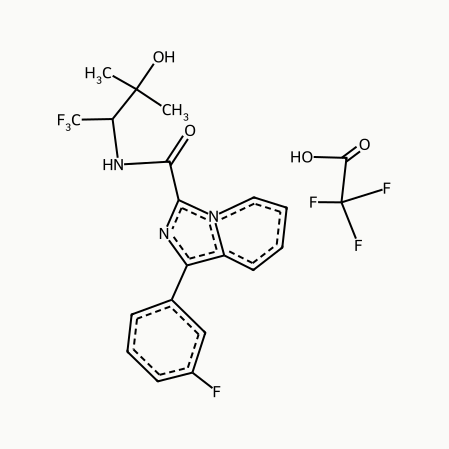 CC(C)(O)C(NC(=O)c1nc(-c2cccc(F)c2)c2ccccn12)C(F)(F)F.O=C(O)C(F)(F)F